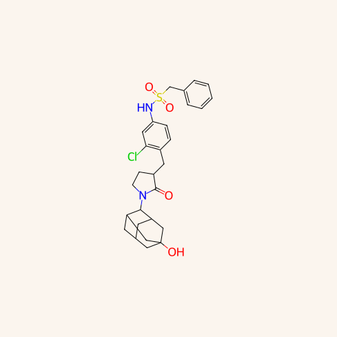 O=C1C(Cc2ccc(NS(=O)(=O)Cc3ccccc3)cc2Cl)CCN1C1C2CC3CC1CC(O)(C3)C2